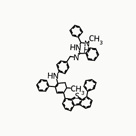 CNC(N/C(=N\Cc1ccc(NC2=C(c3ccccc3)C=C(c3cccc4c3sc3c(-c5ccccc5)cccc34)C(C)C2)cc1)c1ccccc1)c1ccccc1